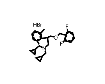 Br.Cc1cccc(C)c1C(COCc1c(F)cccc1F)CN(CC1CC1)CC1CC1